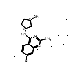 Nc1nc(N[C@@H]2CC[C@@H](O)C2)c2ccc(Br)cc2n1